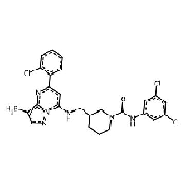 Bc1cnn2c(NCC3CCCN(C(=O)Nc4cc(Cl)cc(Cl)c4)C3)cc(-c3ccccc3Cl)nc12